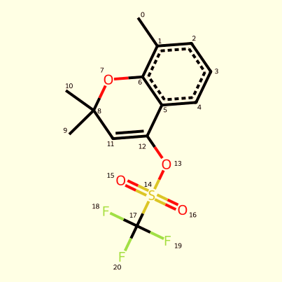 Cc1cccc2c1OC(C)(C)C=C2OS(=O)(=O)C(F)(F)F